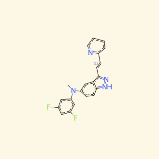 CN(c1cc(F)cc(F)c1)c1ccc2[nH]nc(/C=C/c3ccccn3)c2c1